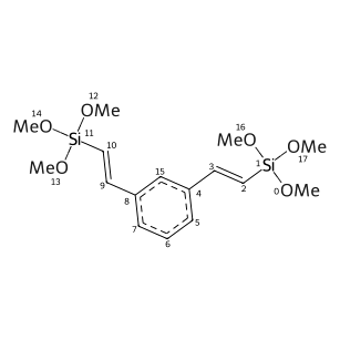 CO[Si](C=Cc1cccc(C=C[Si](OC)(OC)OC)c1)(OC)OC